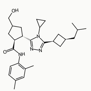 Cc1ccc(NC(=O)[C@H]2CC(CO)C[C@@H]2c2nnc([C@H]3C[C@@H](CC(C)C)C3)n2C2CC2)c(C)c1